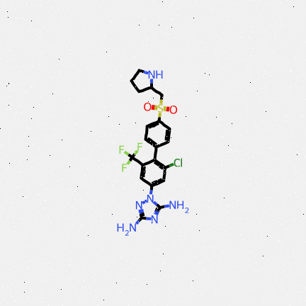 Nc1nc(N)n(-c2cc(Cl)c(-c3ccc(S(=O)(=O)CC4CCCN4)cc3)c(C(F)(F)F)c2)n1